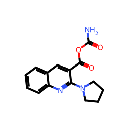 NC(=O)OC(=O)c1cc2ccccc2nc1N1CCCC1